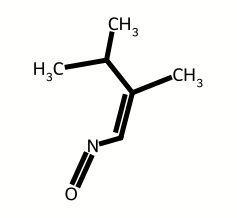 C/C(=C/N=O)C(C)C